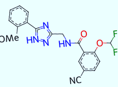 COc1ccccc1-c1nc(CNC(=O)c2cc(C#N)ccc2OC(F)F)n[nH]1